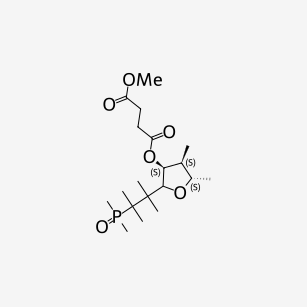 COC(=O)CCC(=O)O[C@@H]1C(C(C)(C)C(C)(C)P(C)(C)=O)O[C@@H](C)[C@@H]1C